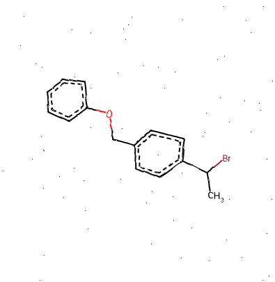 CC(Br)c1ccc(COc2ccccc2)cc1